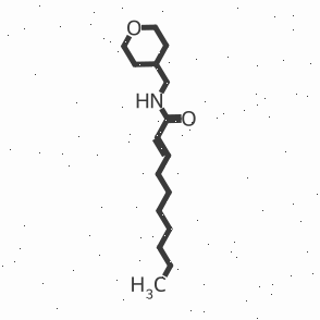 CCCCCCCC=CC(=O)NCC1CCOCC1